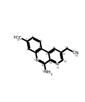 Cc1ccc2c(c1)nc(N)c1ncc(CC#N)cc12